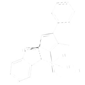 CC1=Cc2ccccc2[CH]1[Zr]([CH3])([CH3])(=[SiH2])[C]1=C(C)C(c2ccccc2)=CC1C.Cl.Cl